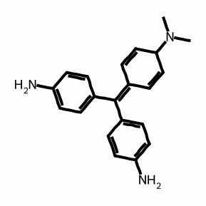 CN(C)C1C=CC(=C(c2ccc(N)cc2)c2ccc(N)cc2)C=C1